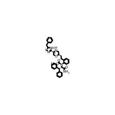 COC(=O)N(c1ccccc1CC[C@@H]1CN[C@H](c2nnc(Cc3ccccc3)[nH]2)CO1)[C@H](C(N)=O)C(c1ccccc1)c1ccccc1